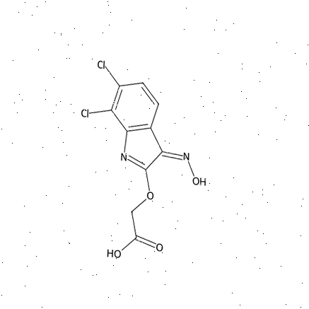 O=C(O)COC1=Nc2c(ccc(Cl)c2Cl)C1=NO